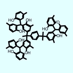 Cc1ccc(O)c(C(c2cc(C)ccc2O)c2cc(C(C)(C)c3ccc(C(C)(c4cc(C)c(O)c(C(c5cc(C)ccc5O)c5cc(C)ccc5O)c4)c4cc(C)c(O)c(C(c5cc(C)ccc5O)c5cc(C)ccc5O)c4)cc3)cc(C)c2O)c1